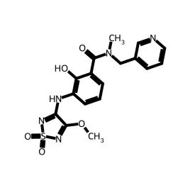 COC1=NS(=O)(=O)N=C1Nc1cccc(C(=O)N(C)Cc2cccnc2)c1O